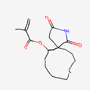 C=C(C)C(=O)OC1CCCCCCCC12CC(=O)NC2=O